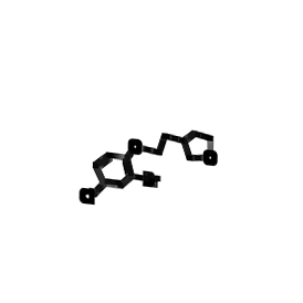 Clc1ccc(OCCC2CCOC2)c(Br)c1